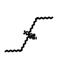 CCCCCCCC/C=C\CCCCCCCCC(CCCCCCCC/C=C\CCCCCCCC)(C[N+](C)(C)C)OP(=O)([O-])O